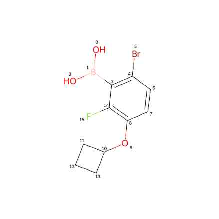 OB(O)c1c(Br)ccc(OC2CCC2)c1F